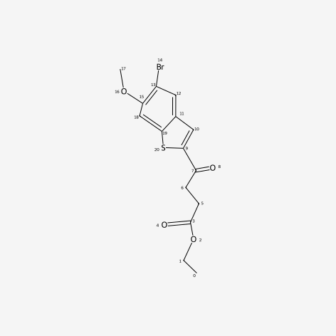 CCOC(=O)CCC(=O)c1cc2cc(Br)c(OC)cc2s1